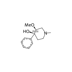 CO[C@H]1CN(C)CC[C@]1(O)c1ccccc1